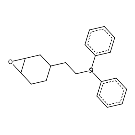 c1ccc([Si](CCC2CCC3OC3C2)c2ccccc2)cc1